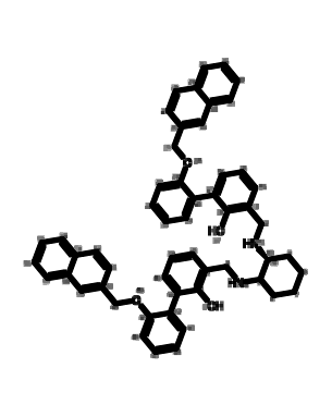 Oc1c(CNC2CCCC[C@@H]2NCc2cccc(-c3ccccc3OCc3ccc4ccccc4c3)c2O)cccc1-c1ccccc1OCc1ccc2ccccc2c1